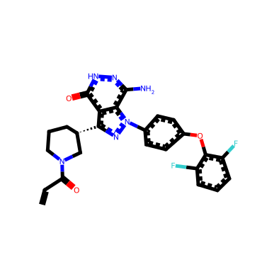 C=CC(=O)N1CCC[C@H](c2nn(-c3ccc(Oc4c(F)cccc4F)cc3)c3c(N)n[nH]c(=O)c23)C1